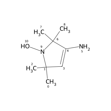 CC1(C)C=C(N)C(C)(C)N1O